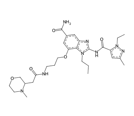 CCCn1c(NC(=O)c2cc(C)nn2CC)nc2cc(C(N)=O)cc(OCCCNC(=O)CC3COCCN3C)c21